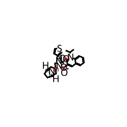 COC(=O)N(CCN1[C@@H]2CC[C@H]1C[C@H](NC(=O)c1cc3ccccc3n(C(C)C)c1=O)C2)c1ccsc1